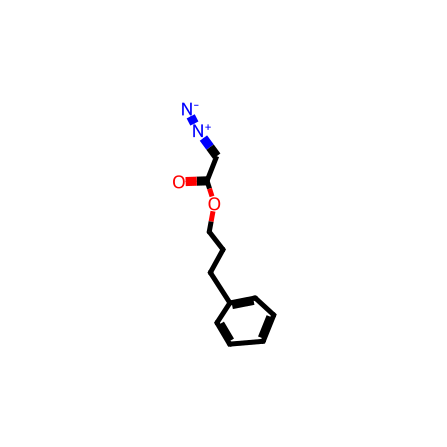 [N-]=[N+]=CC(=O)OCCCc1ccccc1